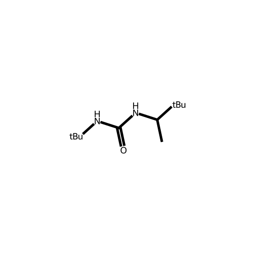 CC(NC(=O)NC(C)(C)C)C(C)(C)C